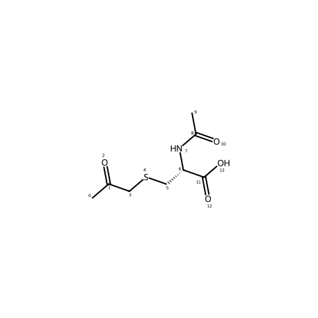 CC(=O)CSC[C@H](NC(C)=O)C(=O)O